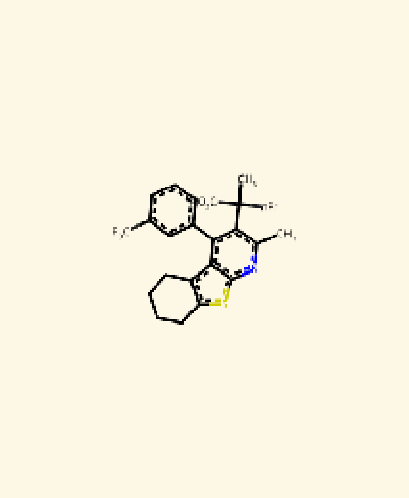 CCCC(C)(C(=O)O)c1c(C)nc2sc3c(c2c1-c1cccc(C(F)(F)F)c1)CCCC3